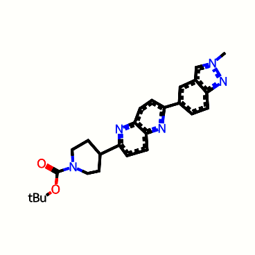 Cn1cc2cc(-c3ccc4nc(C5CCN(C(=O)OC(C)(C)C)CC5)ccc4n3)ccc2n1